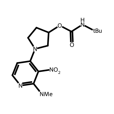 CNc1nccc(N2CCC(OC(=O)NC(C)(C)C)C2)c1[N+](=O)[O-]